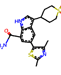 Cc1nc(C)c(-c2cc(C(N)=O)c3[nH]cc(C4CCS(=O)(=O)CC4)c3c2)s1